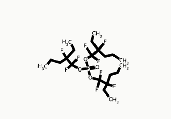 CCCC(F)(CC)C(F)(F)OP(=O)(OC(F)(F)C(F)(CC)CCC)OC(F)(F)C(F)(CC)CCC